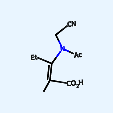 CCC(=C(C)C(=O)O)N(CC#N)C(C)=O